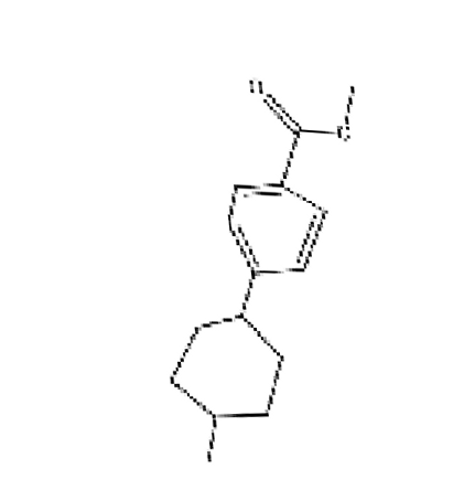 COC(=O)c1ccc(C2CCC(C)CC2)cc1